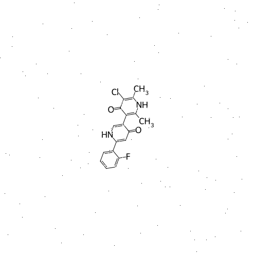 Cc1[nH]c(C)c(-c2c[nH]c(-c3ccccc3F)cc2=O)c(=O)c1Cl